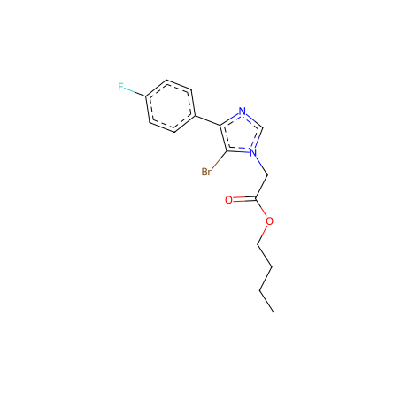 CCCCOC(=O)Cn1cnc(-c2ccc(F)cc2)c1Br